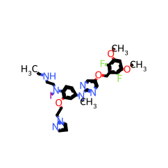 CCNCCN(I)c1ccc(N(C)c2ncc(OCc3c(F)c(OC)cc(OC)c3F)cn2)cc1OCCn1cccn1